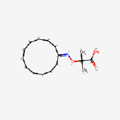 CC(C)(ON=C1CCCCCCCCCCC1)C(=O)O